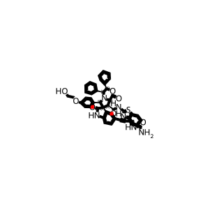 NC(=O)NCC#Cc1ccc2c(c1)[C@]1(C(=O)N2)[C@H](C(=O)Nc2nc3ccccc3s2)[C@H]2C(=O)O[C@H](c3ccccc3)[C@H](c3ccccc3)N2[C@@H]1c1ccc(OCCO)cc1